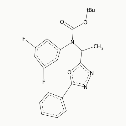 CC(c1nnc(-c2ccccc2)o1)N(C(=O)OC(C)(C)C)c1cc(F)cc(F)c1